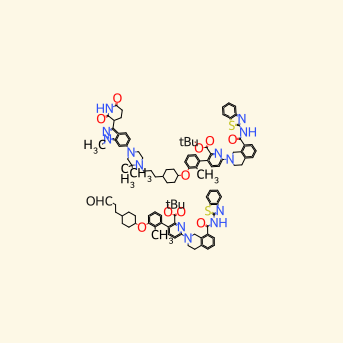 Cc1c(OC2CCC(CCC=O)CC2)cccc1-c1ccc(N2CCc3cccc(C(=O)Nc4nc5ccccc5s4)c3C2)nc1C(=O)OC(C)(C)C.Cc1c(OC2CCC(CCCN3CCN(c4ccc5c(C6CCC(=O)NC6=O)nn(C)c5c4)CC3(C)C)CC2)cccc1-c1ccc(N2CCc3cccc(C(=O)Nc4nc5ccccc5s4)c3C2)nc1C(=O)OC(C)(C)C